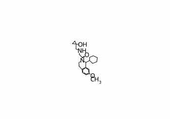 COc1ccc2c(c1)C(C1CCCCC1)N(C(=O)CNCC1(O)CC1)CC2